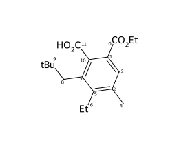 CCOC(=O)c1cc(C)c(CC)c(CC(C)(C)C)c1C(=O)O